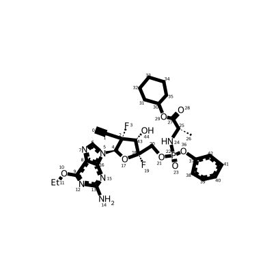 C#C[C@]1(F)[C@H](n2cnc3c(OCC)nc(N)nc32)O[C@](F)(COP(=O)(N[C@@H](C)C(=O)OC2CCCCC2)Oc2ccccc2)[C@H]1O